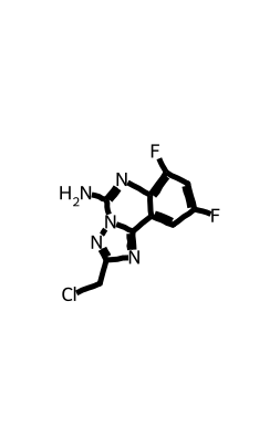 Nc1nc2c(F)cc(F)cc2c2nc(CCl)nn12